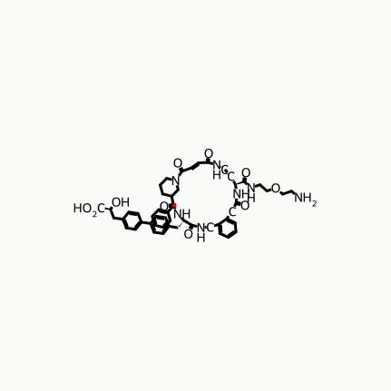 NCCOCCNC(=O)[C@@H]1CCNC(=O)/C=C/C(=O)N2CCC[C@](Cc3ccccc3)(C2)C(=O)N[C@@H](Cc2ccc(-c3ccc(C[C@H](O)C(=O)O)cc3)cc2)C(=O)NCc2ccccc2CC(=O)N1